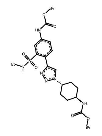 CCNS(=O)(=O)c1cc(NC(=O)OC(C)C)ccc1-c1cn([C@H]2CC[C@H](NC(=O)OC(C)C)CC2)nn1